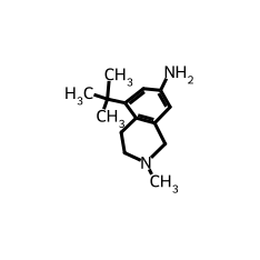 CN1CCc2c(cc(N)cc2C(C)(C)C)C1